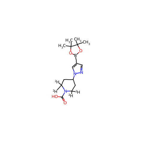 [2H]C1([2H])CC(n2cc(B3OC(C)(C)C(C)(C)O3)cn2)CC([2H])([2H])N1C(=O)O